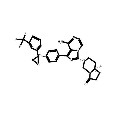 Nc1nccn2c([C@@H]3CC[C@H]4CCC(=O)N4C3)nc(-c3ccc([C@@]4(c5cccc(C(F)(F)F)c5)CO4)cc3)c12